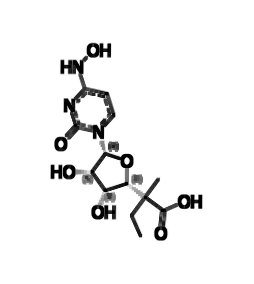 CCC(C)(C(=O)O)[C@H]1O[C@@H](n2ccc(NO)nc2=O)[C@@H](O)[C@H]1O